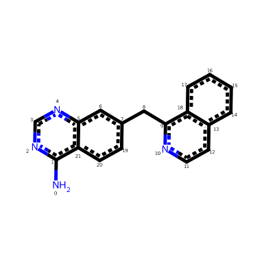 Nc1ncnc2cc(Cc3nccc4ccccc34)ccc12